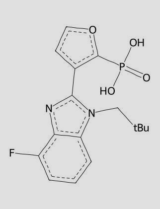 CC(C)(C)Cn1c(-c2ccoc2P(=O)(O)O)nc2c(F)cccc21